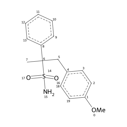 COc1ccc(CC(C)(c2ccccc2)S(N)(=O)=O)cc1